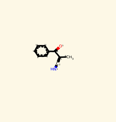 CC(=C=N)C(=O)c1ccccc1